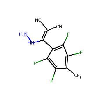 N#CC(C#N)=C(NN)c1c(F)c(F)c(C(F)(F)F)c(F)c1F